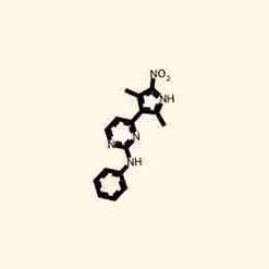 Cc1[nH]c([N+](=O)[O-])c(C)c1-c1ccnc(Nc2ccccc2)n1